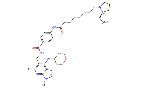 CCc1nc2c(cnn2CC)c(NC2CCOCC2)c1CNC(=O)c1ccc(NC(=O)CCCCCCCN2CCC[C@H]2COC)cc1